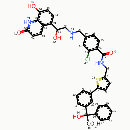 O=C(NCc1ccc(-c2cccc(C(O)(C(=O)O)c3ccccc3)c2)s1)c1ccc(CNCC(O)c2ccc(O)c3[nH]c(=O)ccc23)cc1Cl